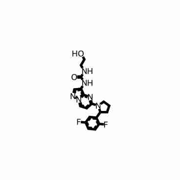 O=C(NCCO)Nc1cnn2ccc(N3CCCC3c3cc(F)ccc3F)nc12